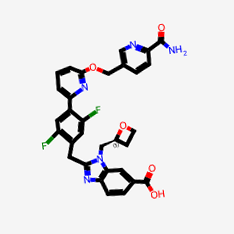 NC(=O)c1ccc(COc2cccc(-c3cc(F)c(Cc4nc5ccc(C(=O)O)cc5n4C[C@@H]4CCO4)cc3F)n2)cn1